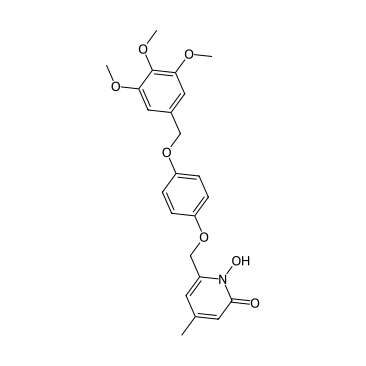 COc1cc(COc2ccc(OCc3cc(C)cc(=O)n3O)cc2)cc(OC)c1OC